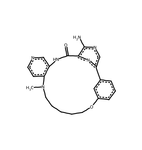 CN1CCCCCOc2cccc(c2)-c2cnc(N)c(n2)C(=O)Nc2cnccc21